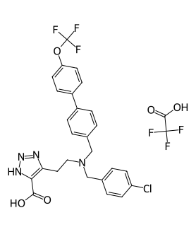 O=C(O)C(F)(F)F.O=C(O)c1[nH]nnc1CCN(Cc1ccc(Cl)cc1)Cc1ccc(-c2ccc(OC(F)(F)F)cc2)cc1